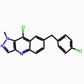 Cn1ncc2nc3ccc(Cc4ccc(Cl)cc4)cc3c(Cl)c21